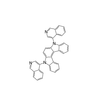 c1ccc2c(-n3c4ccccc4c4c5c6ccccc6n(-c6cncc7ccccc67)c5ccc43)cncc2c1